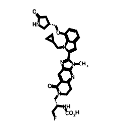 Cn1c(-c2cc3cccc(OC[C@@H]4CNC(=O)C4)c3n2CC2CC2)nc2cc3c(nc21)CCN(C[C@@H](CF)NC(=O)O)C3=O